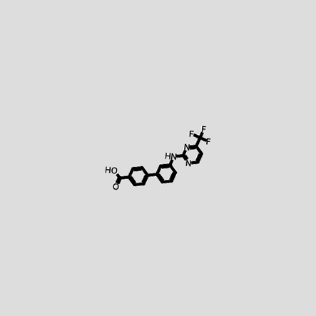 O=C(O)c1ccc(-c2cccc(Nc3nccc(C(F)(F)F)n3)c2)cc1